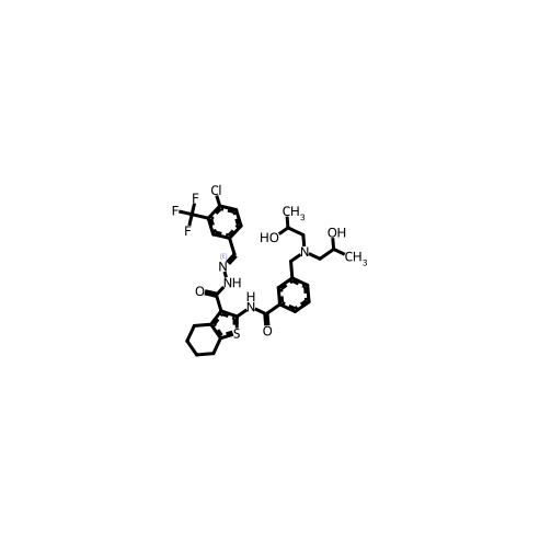 CC(O)CN(Cc1cccc(C(=O)Nc2sc3c(c2C(=O)N/N=C/c2ccc(Cl)c(C(F)(F)F)c2)CCCC3)c1)CC(C)O